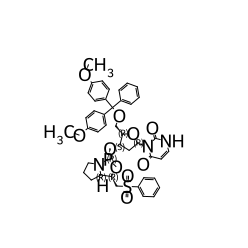 COc1ccc(C(OC[C@H]2O[C@@H](n3c(=O)cc[nH]c3=O)C[C@@H]2O[P@@]2O[C@@H](CS(=O)(=O)c3ccccc3)[C@H]3CCCN32)(c2ccccc2)c2ccc(OC)cc2)cc1